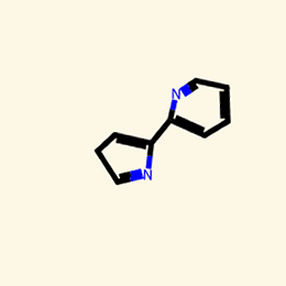 C1=NC(c2ccccn2)=CC1